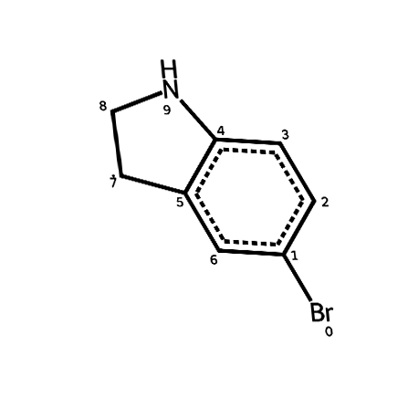 Brc1ccc2c(c1)[CH]CN2